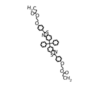 C=CC(=O)OCCOc1ccc(-c2nc3cc(C(c4ccccc4)(c4ccccc4)c4ccc5sc(-c6ccc(OCCOC(=O)C=C)cc6)nc5c4)ccc3s2)cc1